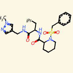 CC(C)CC(NC(=O)C1CCCCN1S(=O)(=O)Cc1ccccc1)C(=O)NCc1cnn(C)c1